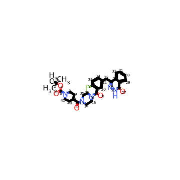 CC(C)(C)OC(=O)N1CCC(C(=O)N2CCN(C(=O)c3cc(Cc4n[nH]c(=O)c5ccccc45)ccc3F)CC2)CC1